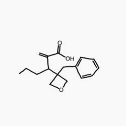 C=C(C(=O)O)C(CCC)C1(Cc2ccccc2)COC1